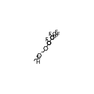 CCC[Si@H]1CC[C@H](CCC2CCC(c3ccc(-c4ccc(OC(F)(F)F)c(F)c4)c(F)c3)CC2)CC1